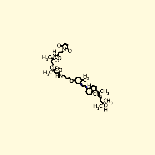 C=C1CC[C@H](OCCCNC(=O)CC(C)(CC)OCCC(C)(CC)NC(=O)CCN2C(=O)C=CC2=O)C/C1=C/C=C1\CCC[C@]2(C)C([C@H](C)CCCC(C)(C)O)CC[C@@H]12